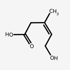 CC(=CCO)CC(=O)O